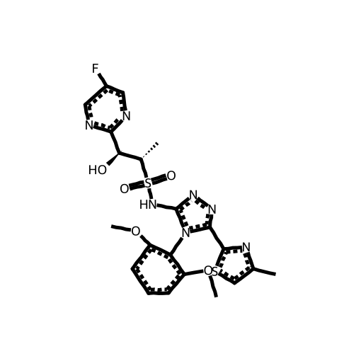 COc1cccc(OC)c1-n1c(NS(=O)(=O)[C@@H](C)[C@@H](O)c2ncc(F)cn2)nnc1-c1nc(C)cs1